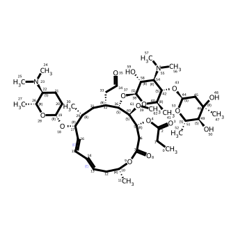 CCC(=O)O[C@@H]1CC(=O)O[C@H](C)C/C=C/C=C/[C@H](O[C@H]2CC[C@H](N(C)C)[C@@H](C)O2)[C@H](C)C[C@H](CC=O)[C@H](O[C@@H]2O[C@H](C)[C@@H](O[C@H]3C[C@@](C)(O)[C@@H](O)[C@H](C)O3)[C@H](N(C)C)[C@H]2O)[C@H]1OC